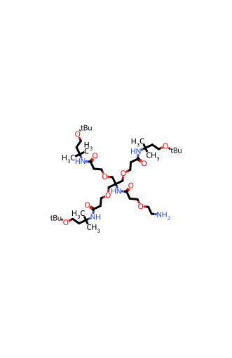 CC(C)(CCOC(C)(C)C)NC(=O)CCOCC(COCCC(=O)NC(C)(C)CCOC(C)(C)C)(COCCC(=O)NC(C)(C)CCOC(C)(C)C)NC(=O)CCOCCN